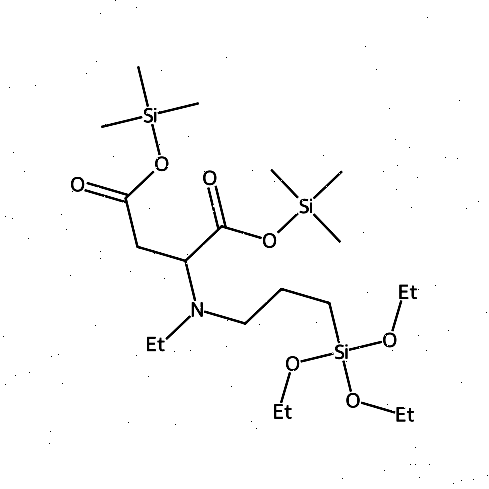 CCO[Si](CCCN(CC)C(CC(=O)O[Si](C)(C)C)C(=O)O[Si](C)(C)C)(OCC)OCC